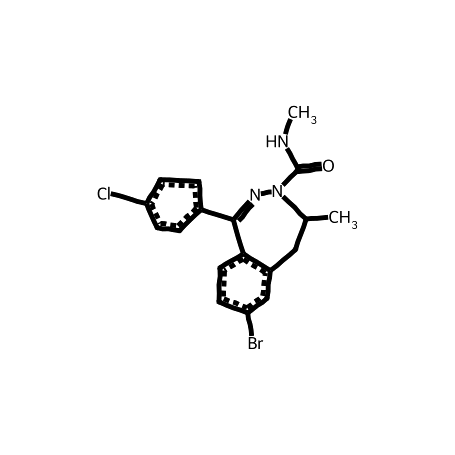 CNC(=O)N1N=C(c2ccc(Cl)cc2)c2ccc(Br)cc2CC1C